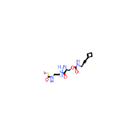 NC(COC(=O)NCC#CC1CCC1)C(=O)NCCNC(=O)SI